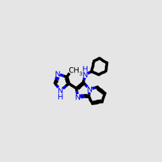 Cc1nc[nH]c1-c1nc2ccccn2c1NC1CCCCC1